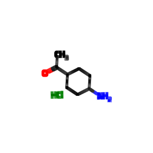 CC(=O)C1CCC(N)CC1.Cl